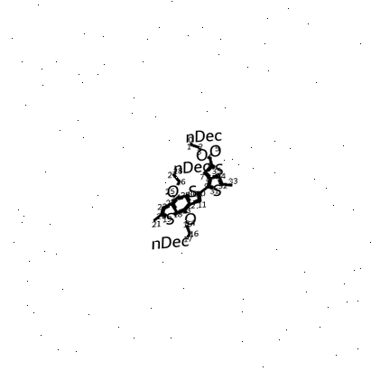 CCCCCCCCCCCCOC(=O)c1cc2c(-c3cc4c(OCCCCCCCCCCCC)c5sc(C)cc5c(OCCCCCCCCCCCC)c4s3)sc(C)c2s1